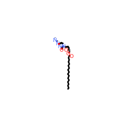 CCCCCCCCCCCCCCCCCC(=O)OC[C@@H]1C=C[C@H](n2ccc(N=CN(C)C)nc2=O)O1